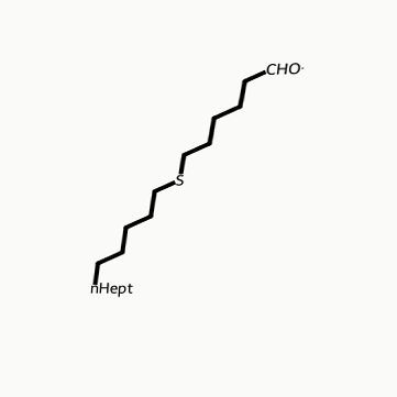 CCCCCCCCCCCCSCCCCC[C]=O